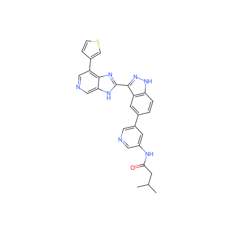 CC(C)CC(=O)Nc1cncc(-c2ccc3[nH]nc(-c4nc5c(-c6ccsc6)cncc5[nH]4)c3c2)c1